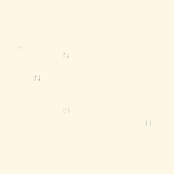 CCCCc1nc(Br)[nH]c1Br